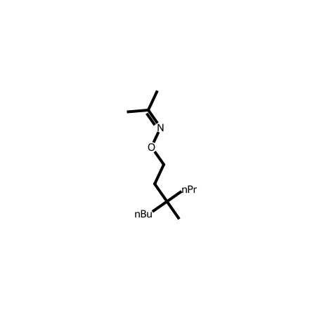 CCCCC(C)(CCC)CCON=C(C)C